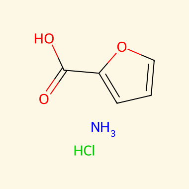 Cl.N.O=C(O)c1ccco1